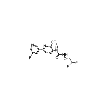 O=C(NOCC(F)F)Nc1ccc(-c2cncc(F)c2)nc1C(F)(F)F